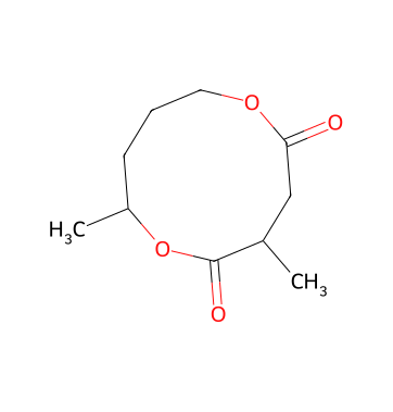 CC1CCCOC(=O)CC(C)C(=O)O1